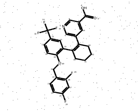 O=C(O)c1cncc(C2=C(c3cc(C(F)(F)F)ccc3OCc3ccc(F)cc3F)CCCC2)c1